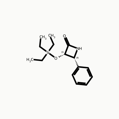 CC[Si](CC)(CC)O[C@@H]1C(=O)N[C@@H]1c1ccccc1